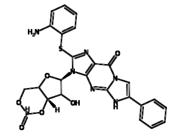 Nc1ccccc1Sc1nc2c(=O)n3cc(-c4ccccc4)[nH]c3nc2n1[C@@H]1OC2CO[PH](=O)O[C@H]2C1O